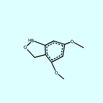 COc1cc2c(c(OC)c1)COB2